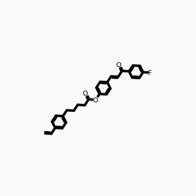 C=Cc1ccc(CCCCC(=O)Oc2ccc(C=CC(=O)c3ccc(F)cc3)cc2)cc1